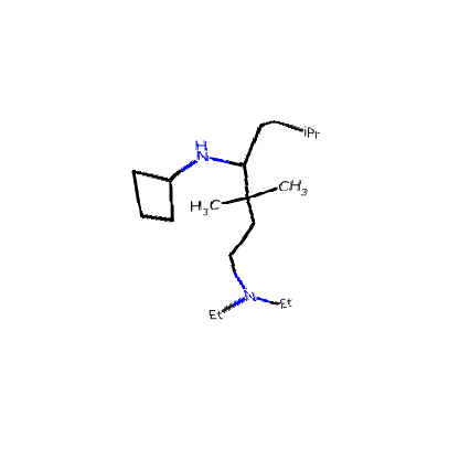 CCN(CC)CCC(C)(C)C(CC(C)C)NC1CCC1